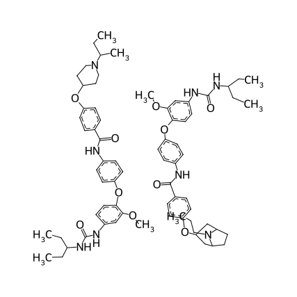 CCC(CC)NC(=O)Nc1ccc(Oc2ccc(NC(=O)c3ccc(OC4CCN(C(C)CC)CC4)cc3)cc2)c(OC)c1.CCCN1C2CCC1CC(Oc1ccc(C(=O)Nc3ccc(Oc4ccc(NC(=O)NC(CC)CC)cc4OC)cc3)cc1)C2